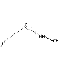 CCCCCCCCCCCC[C@H](C)CCCCNCCCNCCCCC